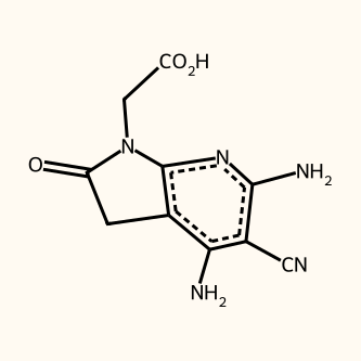 N#Cc1c(N)nc2c(c1N)CC(=O)N2CC(=O)O